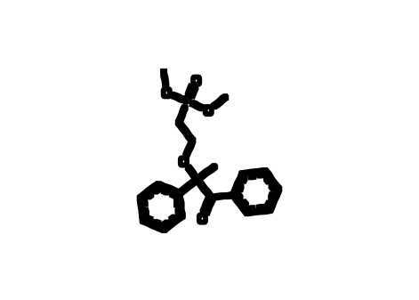 COP(=O)(CCOC(C)(C(=O)c1ccccc1)c1ccccc1)OC